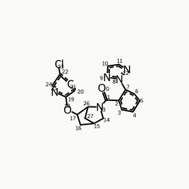 O=C(c1ccccc1-n1nccn1)N1CC2CC(Oc3ccc(Cl)cn3)C1C2